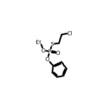 CCOP(=O)(Oc1ccccc1)SCCCl